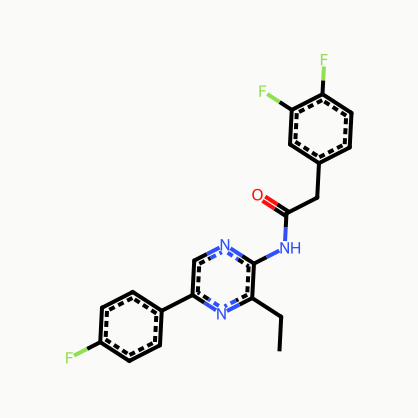 CCc1nc(-c2ccc(F)cc2)cnc1NC(=O)Cc1ccc(F)c(F)c1